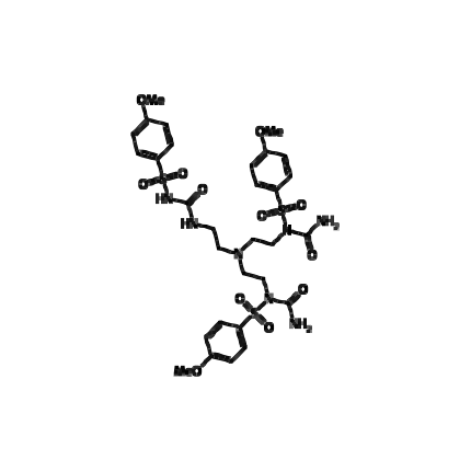 COc1ccc(S(=O)(=O)NC(=O)NCCN(CCN(C(N)=O)S(=O)(=O)c2ccc(OC)cc2)CCN(C(N)=O)S(=O)(=O)c2ccc(OC)cc2)cc1